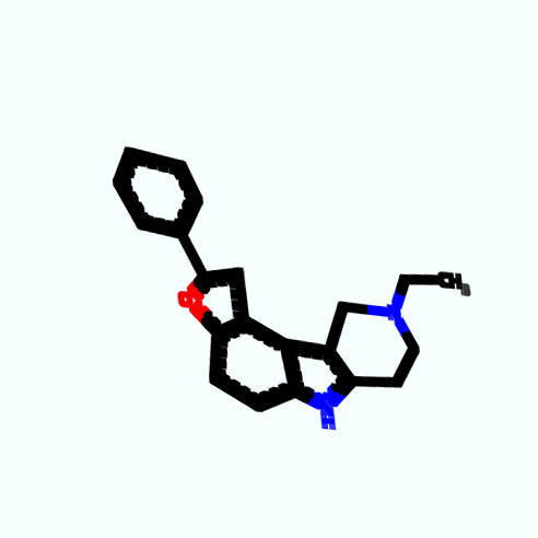 CCN1CCc2[nH]c3ccc4oc(-c5ccccc5)cc4c3c2C1